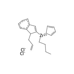 C=CCC1[C]([Zr+2]([CH2]CCC)[CH]2C=CC=C2)=Cc2ccccc21.[Cl-].[Cl-]